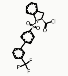 O=C(Cl)[C@@H]1Cc2ccccc2N1S(=O)(=O)c1ccc(-c2cccc(C(F)(F)F)c2)cc1